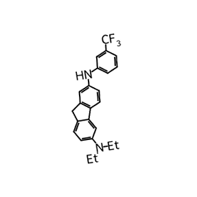 CCN(CC)c1ccc2c(c1)-c1ccc(Nc3cccc(C(F)(F)F)c3)cc1C2